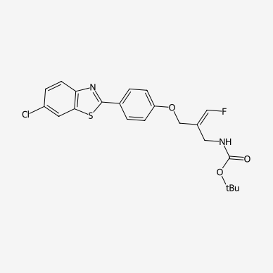 CC(C)(C)OC(=O)NCC(=CF)COc1ccc(-c2nc3ccc(Cl)cc3s2)cc1